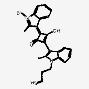 CC[N+]1=C(C)/C(=C2\C(=O)C(c3c(C)n(CCCS)c4ccccc34)=C2O)c2ccccc21